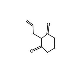 C=CCC1C(=O)CCCC1=O